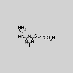 Cc1nc(NCCN)nc(SCCC(=O)O)n1